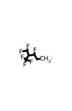 [CH2]CC(F)C(C(F)F)C(F)(F)F